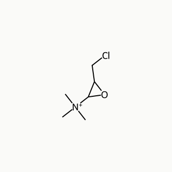 C[N+](C)(C)C1OC1CCl